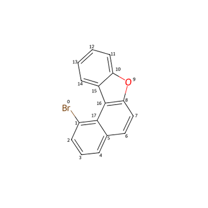 Brc1cccc2ccc3oc4ccccc4c3c12